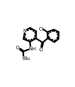 CC(C)(C)C(=O)Nc1cnccc1C(=O)c1ccccc1Cl